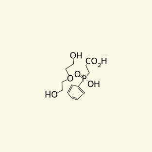 O=C(O)CCP(=O)(O)c1ccccc1.OCCOCCO